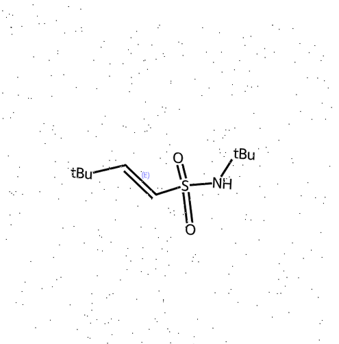 CC(C)(C)/C=C/S(=O)(=O)NC(C)(C)C